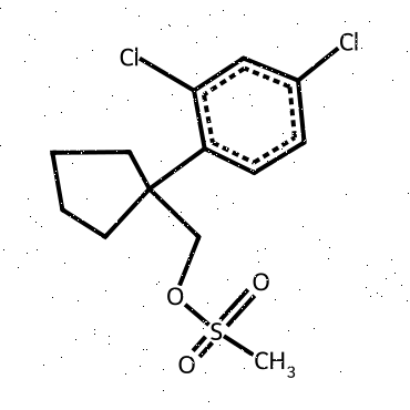 CS(=O)(=O)OCC1(c2ccc(Cl)cc2Cl)CCCC1